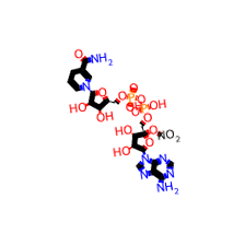 NC(=O)C1=CN([C@@H]2O[C@H](COP(=O)(O)OP(=O)(O)OC[C@]3(O[N+](=O)[O-])O[C@@H](n4cnc5c(N)ncnc54)[C@H](O)[C@@H]3O)[C@@H](O)[C@H]2O)C=CC1